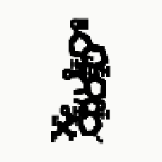 CC1=C2C(=O)[C@H]3[C@@H](CC=C4C[C@@H](O)CC[C@@]43C)[C@@H]2CC[C@]12O[C@@H]1C[C@H](C)CN(C(=O)C(F)(F)F)[C@H]1[C@H]2C